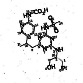 CC(C)C[C@H](CO)Nc1nc(CC(C)c2ccc(NC(=O)O)nc2)nc(NS(C)(=O)=O)n1